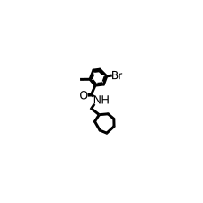 Cc1ccc(Br)cc1C(=O)NCC1CCCCCC1